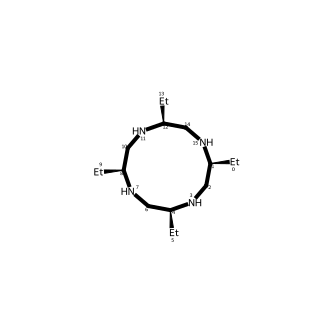 CC[C@H]1CN[C@@H](CC)CN[C@@H](CC)CN[C@@H](CC)CN1